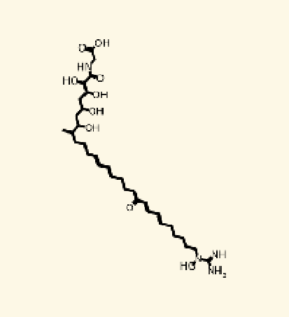 CC(CCC/C=C/C=C/CCCC(=O)/C=C/C=C/CCCCCN(O)C(=N)N)C(O)CC(O)CC(O)C(O)C(=O)NCC(=O)O